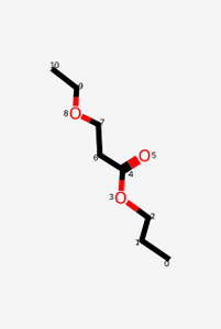 CCCOC(=O)CCOCC